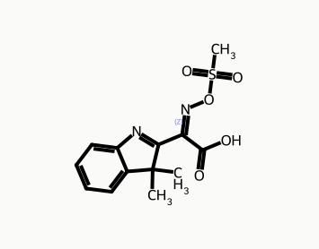 CC1(C)C(/C(=N/OS(C)(=O)=O)C(=O)O)=Nc2ccccc21